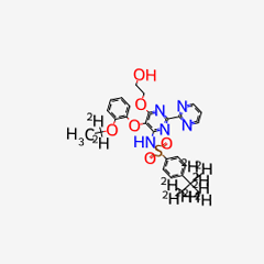 [2H]C([2H])(C)Oc1ccccc1Oc1c(NS(=O)(=O)c2ccc(C(C([2H])([2H])[2H])(C([2H])([2H])[2H])C([2H])([2H])[2H])cc2)nc(-c2ncccn2)nc1OCCO